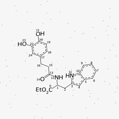 CCOC(=O)C(Cc1cc2ccccc2[nH]1)NC(=O)CCc1ccc(O)c(O)c1